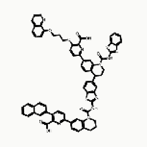 O=C(O)c1nc(-c2ccc3c(c2)N(C(=O)Nc2nc4ccccc4s2)CCC3c2ccc3sc(NC(=O)N4CCCc5ccc(-c6ccc(-c7ccc8ccccc8c7)c(C(=O)O)n6)cc54)nc3c2)ccc1OCCCOc1cccc2cccnc12